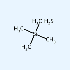 C[Si](C)(C)C.S